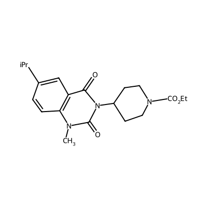 CCOC(=O)N1CCC(n2c(=O)c3cc(C(C)C)ccc3n(C)c2=O)CC1